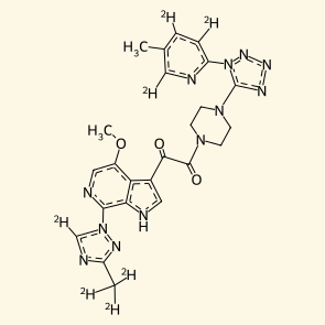 [2H]c1nc(-n2nnnc2N2CCN(C(=O)C(=O)c3c[nH]c4c(-n5nc(C([2H])([2H])[2H])nc5[2H])ncc(OC)c34)CC2)c([2H])c([2H])c1C